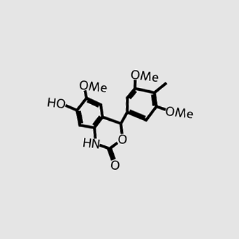 COc1cc2c(cc1O)NC(=O)OC2c1cc(OC)c(C)c(OC)c1